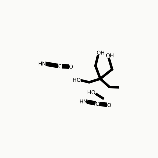 CCC(CO)(CO)CO.CO.N=C=O.N=C=O